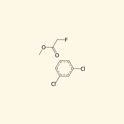 COC(=O)CF.Clc1cccc(Cl)c1